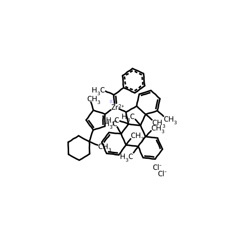 CC1=CC=CC2[CH](/[Zr+2]([C]3=CC(C4(C)CCCCC4)=CC3C)=[C](/C)c3ccccc3)C3(C)C4(C)C=CC=CC4(C)C4(C)C=CC=CC4(C)C3(C)C12C.[Cl-].[Cl-]